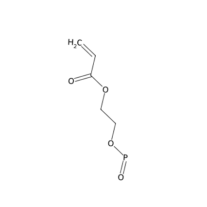 C=CC(=O)OCCOP=O